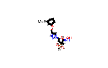 CSc1cccc(OCc2cn(CCC(C)(C(=O)NO)S(C)(=O)=O)nn2)c1